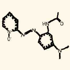 CC(=O)Nc1cc(N(C)C)ccc1/N=N/c1cccc[n+]1[O-]